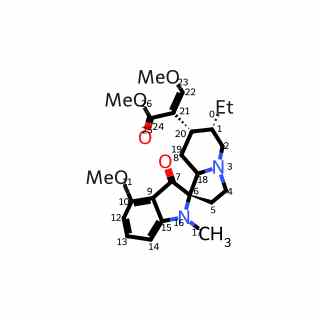 CC[C@@H]1CN2CC[C@@]3(C(=O)c4c(OC)cccc4N3C)C2C[C@@H]1/C(=C/OC)C(=O)OC